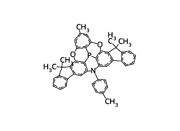 Cc1ccc(N2c3cc4c(c5c3P3c6c(cc(C)cc6Oc6c3c2cc2c6C(C)(C)c3ccccc3-2)O5)C(C)(C)c2ccccc2-4)cc1